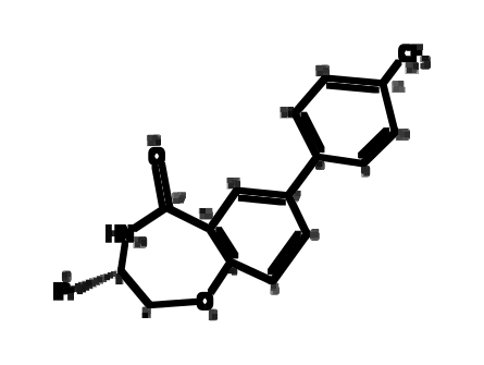 CC(C)[C@H]1COc2ccc(-c3ccc(C(F)(F)F)cc3)cc2C(=O)N1